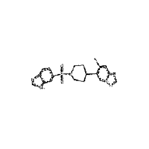 Cc1cc2ncnn2cc1C1CCN(S(=O)(=O)c2ccc3nc[nH]c3c2)CC1